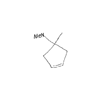 CNC1(C)CC=CC1